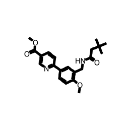 COC(=O)c1ccc(-c2ccc(OC)c(CNC(=O)CC(C)(C)C)c2)nc1